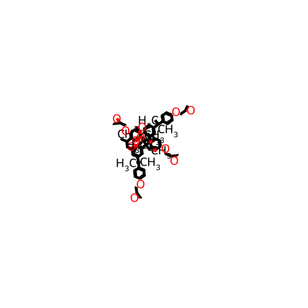 CCC(Cc1cc(C(C)(C)c2ccc(OCC3CO3)cc2)cc(C(CC)(CC)Cc2cc(C(C)(C)c3ccc(OCC4CO4)cc3)ccc2OCC2CO2)c1OCC1CO1)c1cc(C(C)(C)c2ccc(OCC3CO3)cc2)ccc1OCC1CO1